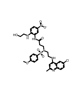 COc1ccc(S(=O)(=O)N(CCNc2cc(C)nc3ccc(Cl)cc23)CCC(=O)Nc2cc([N+](=O)[O-])ccc2NCCO)cc1